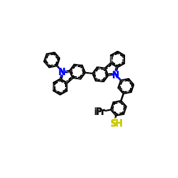 CC(C)c1cc(-c2cccc(-n3c4ccccc4c4cc(-c5ccc6c(c5)c5ccccc5n6-c5ccccc5)ccc43)c2)ccc1S